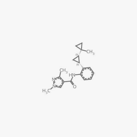 Cc1nn(C)cc1C(=O)Nc1ccccc1[C@@H]1C[C@@H]1C1(C)CC1